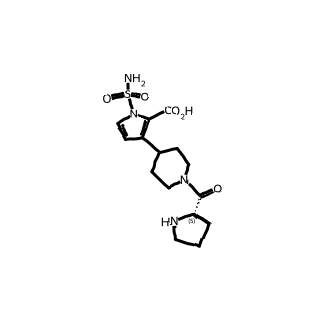 NS(=O)(=O)n1ccc(C2CCN(C(=O)[C@@H]3CCCN3)CC2)c1C(=O)O